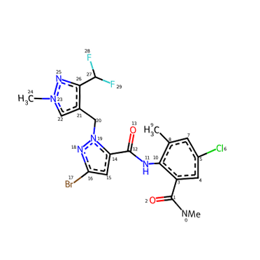 CNC(=O)c1cc(Cl)cc(C)c1NC(=O)c1cc(Br)nn1Cc1cn(C)nc1C(F)F